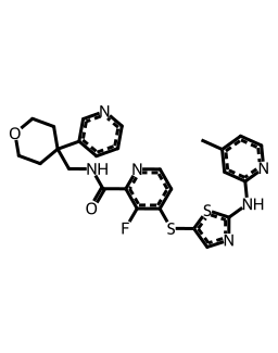 Cc1ccnc(Nc2ncc(Sc3ccnc(C(=O)NCC4(c5cccnc5)CCOCC4)c3F)s2)c1